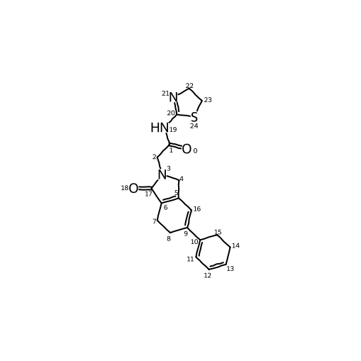 O=C(CN1CC2=C(CCC(C3=CC=CCC3)=C2)C1=O)NC1=NCCS1